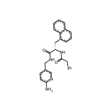 CC(C)CC(=O)N[C@@H](Cc1cccc2ccccc12)C(=O)NCc1ccc(N)nc1